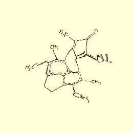 CC1=C2C(=C(C)C1=O)c1c(C)c(C)c3c4c(c(C)c(C)c2c14)CC3